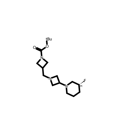 CC(C)(C)OC(=O)N1CC(CN2CC(N3CCC[C@@H](F)C3)C2)C1